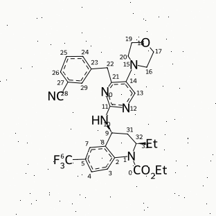 CCOC(=O)N1c2ccc(C(F)(F)F)cc2[C@@H](Nc2ncc(N3CCOCC3)c(Cc3cccc(C#N)c3)n2)C[C@H]1CC